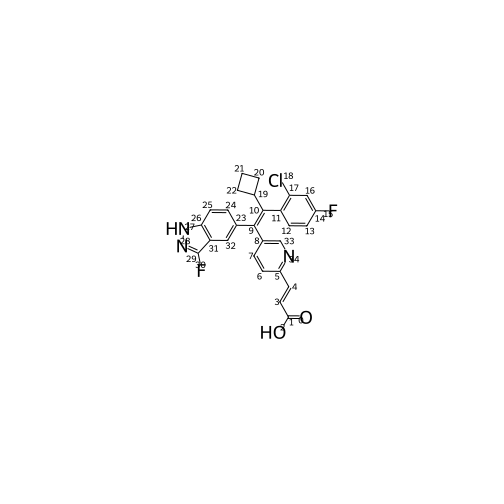 O=C(O)/C=C/c1ccc(/C(=C(\c2ccc(F)cc2Cl)C2CCC2)c2ccc3[nH]nc(F)c3c2)cn1